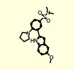 COc1ccc2[nH]c(-c3cc(S(=O)(=O)N(C)C)ccc3N3CCCC3)cc2c1